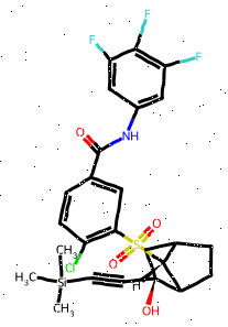 C[Si](C)(C)C#C[C@]1(O)CC2CCC1[C@@H]2S(=O)(=O)c1cc(C(=O)Nc2cc(F)c(F)c(F)c2)ccc1Cl